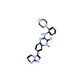 Cn1c(=O)c(Nc2ccccc2N2CCOCC2)nc2ccc(-c3cnc4ncccn34)cc21